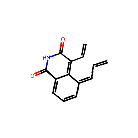 C=C/C=c1/cccc2c1=C(C=C)C(=O)NC2=O